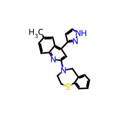 Cc1ccc2nc(N3CCSc4ccccc4C3)cc(-c3cc[nH]n3)c2c1